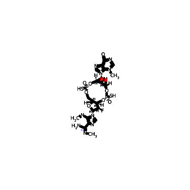 C=Nc1c(/C(N)=N\C)ncn1[C@@H]1O[C@@H]2COP(=O)(S)O[C@@H]3[C@H](O)[C@H](C[C@H]3n3cnc4c(=O)ncn(C)c43)OP(=O)(S)O[C@H]2[C@H]1F